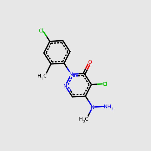 Cc1cc(Cl)ccc1-n1ncc(N(C)N)c(Cl)c1=O